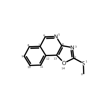 CSc1nc2ncc3ccccc3c2o1